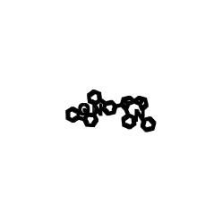 CC1C2=CC=CC13C=CC(c1ccc4c(c1)c1ccccc1n4-c1cccc4c1oc1ccccc14)=C(c1ccccc1N2c1ccccc1)C3C